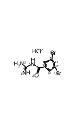 Cl.N=C(N)NC(=O)c1cc(Br)cc(Br)c1